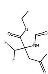 C=C(C)CC(NC=O)(C(=O)OCC)C(F)F